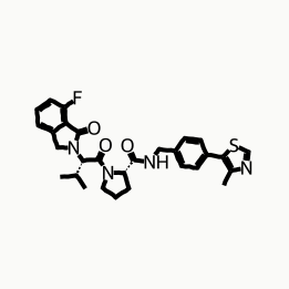 Cc1ncsc1-c1ccc(CNC(=O)[C@@H]2CCCN2C(=O)[C@H](C(C)C)N2Cc3cccc(F)c3C2=O)cc1